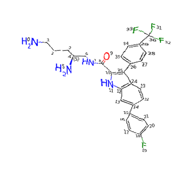 NCCC[C@H](N)CNC(=O)c1[nH]c2cc(-c3ccc(F)cc3)ccc2c1-c1ccc(C(F)(F)F)cc1